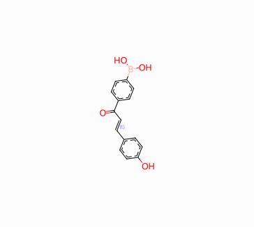 O=C(/C=C/c1ccc(O)cc1)c1ccc(B(O)O)cc1